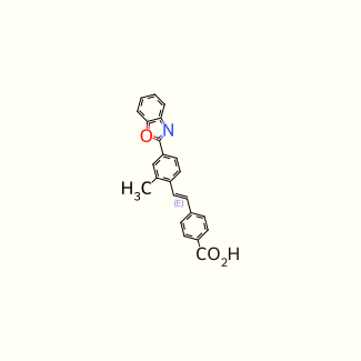 Cc1cc(-c2nc3ccccc3o2)ccc1/C=C/c1ccc(C(=O)O)cc1